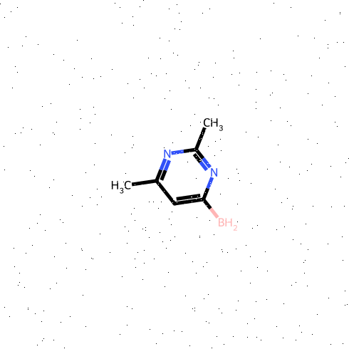 Bc1cc(C)nc(C)n1